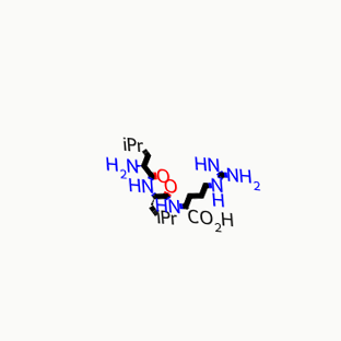 CC(C)C[C@@H](N)C(=O)N[C@@H](CC(C)C)C(=O)N[C@@H](CCCNC(=N)N)C(=O)O